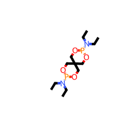 CCN(CC)P1OCC2(CO1)COP(N(CC)CC)OC2